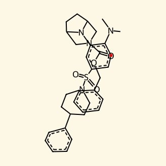 CN(C)c1ccc(S(=O)(=O)N2CCC(c3ccccc3)CC2)cc1N1C2CCC1CN(C(=O)OCc1ccccc1)C2